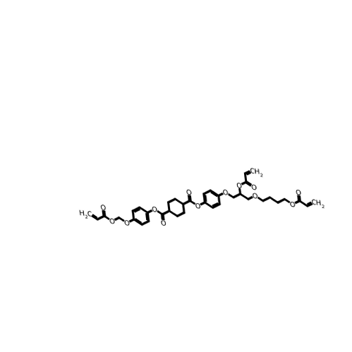 C=CC(=O)OCCCCOCC(COc1ccc(OC(=O)C2CCC(C(=O)Oc3ccc(OCOC(=O)C=C)cc3)CC2)cc1)OC(=O)C=C